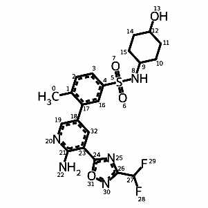 Cc1ccc(S(=O)(=O)NC2CCC(O)CC2)cc1-c1cnc(N)c(-c2nc(C(F)F)no2)c1